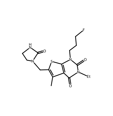 CCn1c(=O)c2c(C)c(CN3CCNC3=O)sc2n(CCCF)c1=O